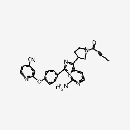 CC#CC(=O)N1CCC(c2nc(-c3ccc(Oc4cc(C#N)ccn4)cc3)n3c(N)nccc23)C1